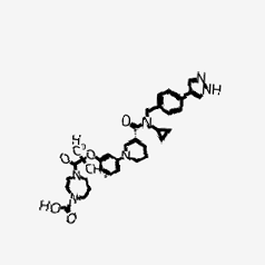 CC(C)(Oc1cccc(N2CCC[C@@H](C(=O)N(Cc3ccc(-c4cn[nH]c4)cc3)C3CC3)C2)c1)C(=O)N1CCCN(C(=O)O)CC1